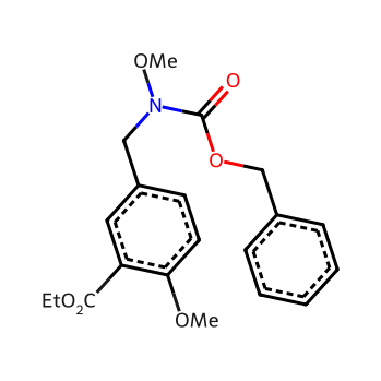 CCOC(=O)c1cc(CN(OC)C(=O)OCc2ccccc2)ccc1OC